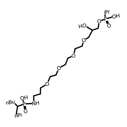 CCCCC(CCC)P(=O)(O)NCCCOCCOCCOCCOCC(O)COP(=O)(O)C(C)C